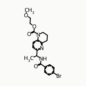 COCCOC(=O)N1CCCc2nc(C(C)NC(=O)c3ccc(Br)cc3)ccc21